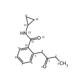 C[CH]C(=O)Cc1ccccc1C(=O)NC1CC1